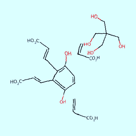 C=CC(=O)O.C=CC(=O)O.O=C(O)C=Cc1c(O)ccc(O)c1C=CC(=O)O.OCC(CO)(CO)CO